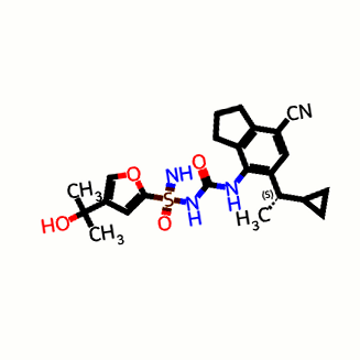 C[C@H](c1cc(C#N)c2c(c1NC(=O)NS(=N)(=O)c1cc(C(C)(C)O)co1)CCC2)C1CC1